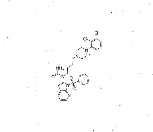 NC(=O)N(CCCCN1CCN(c2cccc(Cl)c2Cl)CC1)c1cc2cccnc2n1S(=O)(=O)c1ccccc1